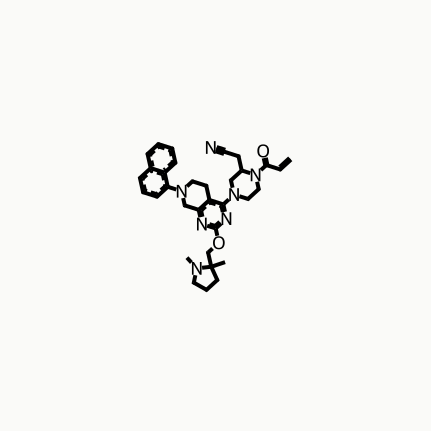 C=CC(=O)N1CCN(c2nc(OCC3(C)CCCN3C)nc3c2CCN(c2cccc4ccccc24)C3)CC1CC#N